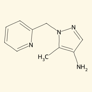 Cc1c(N)cnn1Cc1ccccn1